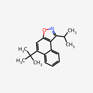 CC(C)c1noc2cc(C(C)(C)C)c3ccccc3c12